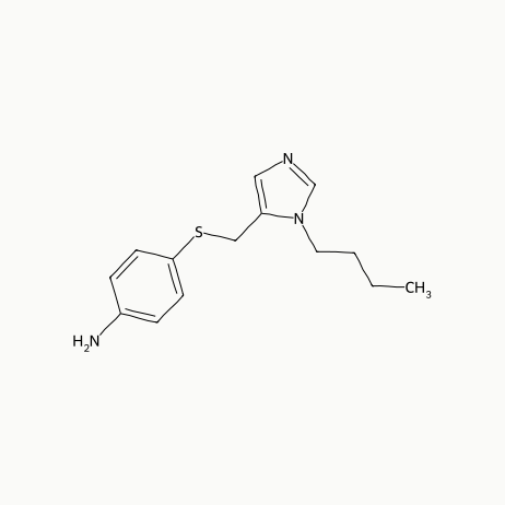 CCCCn1cncc1CSc1ccc(N)cc1